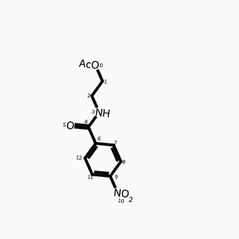 CC(=O)OCCNC(=O)c1ccc([N+](=O)[O-])cc1